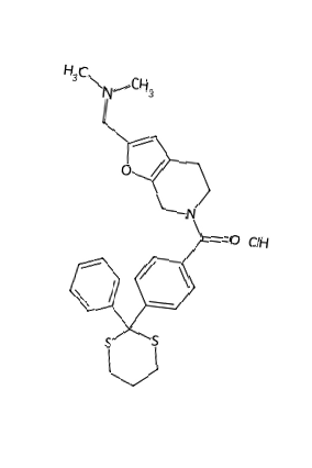 CN(C)Cc1cc2c(o1)CN(C(=O)c1ccc(C3(c4ccccc4)SCCCS3)cc1)CC2.Cl